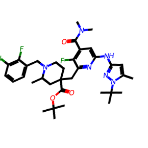 Cc1cc(Nc2cc(C(=O)N(C)C)c(F)c(CC3(C(=O)OC(C)(C)C)CCN(Cc4cccc(Cl)c4F)C(C)C3)n2)nn1C(C)(C)C